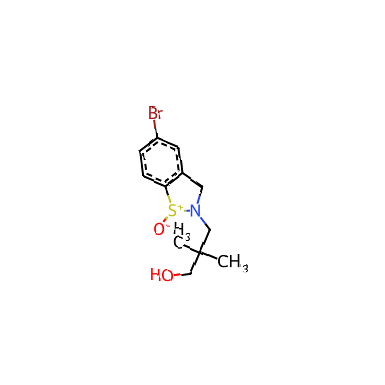 CC(C)(CO)CN1Cc2cc(Br)ccc2[S+]1[O-]